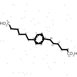 O=C(O)CCCCCc1ccc(CCCCCC(=O)O)cc1